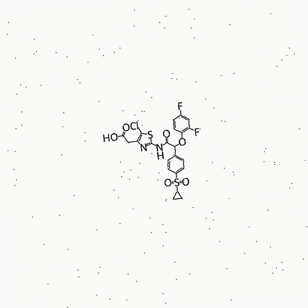 O=C(O)Cc1nc(NC(=O)C(Oc2ccc(F)cc2F)c2ccc(S(=O)(=O)C3CC3)cc2)sc1Cl